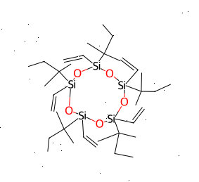 C=C[Si]1(C(C)(C)CC)O[Si](C=C)(C(C)(C)CC)O[Si](C=C)(C(C)(C)CC)O[Si](C=C)(C(C)(C)CC)O[Si](C=C)(C(C)(C)CC)O1